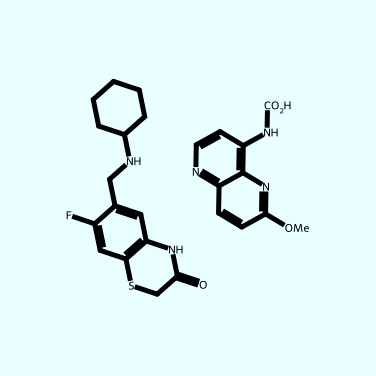 COc1ccc2nccc(NC(=O)O)c2n1.O=C1CSc2cc(F)c(CNC3CCCCC3)cc2N1